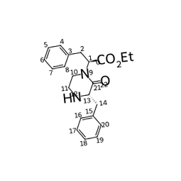 CCOC(=O)[C@H](Cc1ccccc1)N1CCN[C@@H](Cc2ccccc2)C1=O